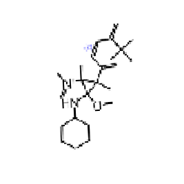 C=C(/C=C\C(=C)C1(C)C(NC2CCCCC2)(OC)C1(C)[N+](=C)C)C(C)(C)C